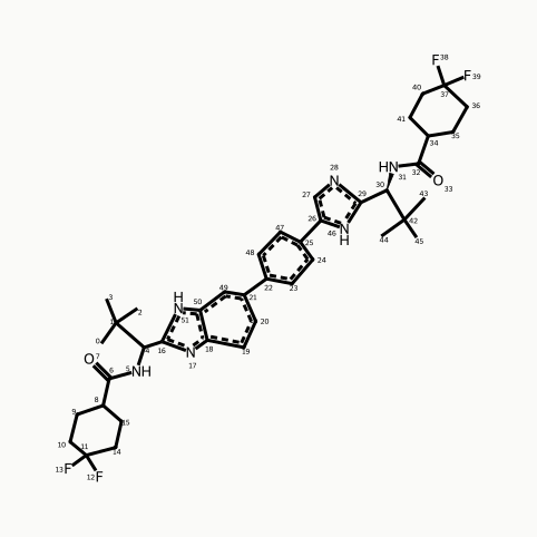 CC(C)(C)C(NC(=O)C1CCC(F)(F)CC1)c1nc2ccc(-c3ccc(-c4cnc([C@@H](NC(=O)C5CCC(F)(F)CC5)C(C)(C)C)[nH]4)cc3)cc2[nH]1